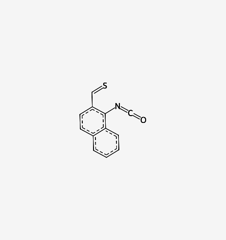 O=C=Nc1c(C=S)ccc2ccccc12